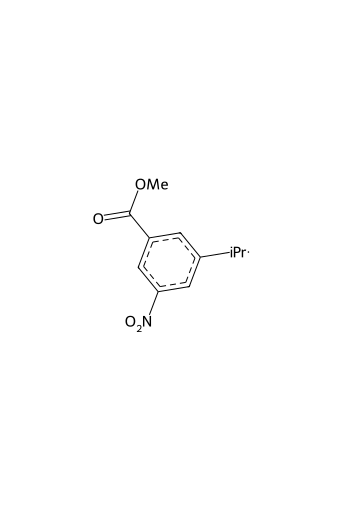 COC(=O)c1cc([C](C)C)cc([N+](=O)[O-])c1